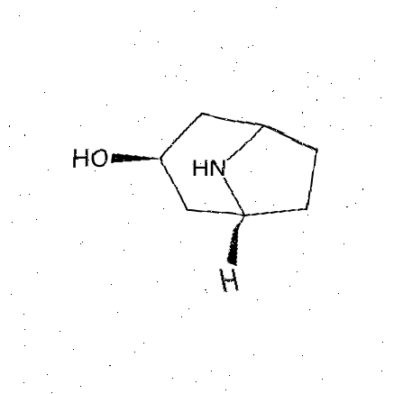 O[C@H]1CC2CC[C@H](C1)N2